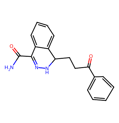 NC(=O)C1=NNC(CCC(=O)c2ccccc2)c2c[c]ccc21